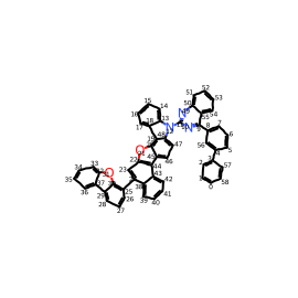 c1ccc(-c2cccc(-c3nc(-n4c5ccccc5c5c6oc7cc(-c8cccc9c8oc8ccccc89)c8ccccc8c7c6ccc54)nc4ccccc34)c2)cc1